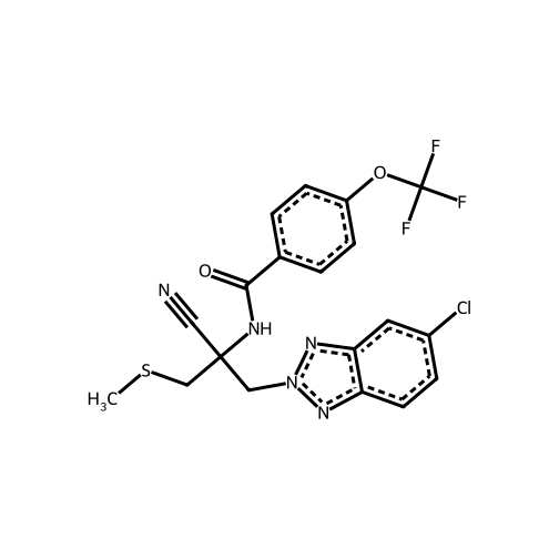 CSCC(C#N)(Cn1nc2ccc(Cl)cc2n1)NC(=O)c1ccc(OC(F)(F)F)cc1